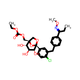 CCOC(=O)OC[C@@]12CO[C@@](c3ccc(Cl)c(Cc4ccc(C(CC)=NOC)cc4)c3)(O1)[C@H](O)[C@@H](O)[C@@H]2O